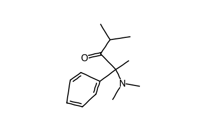 CC(C)C(=O)C(C)(c1ccccc1)N(C)C